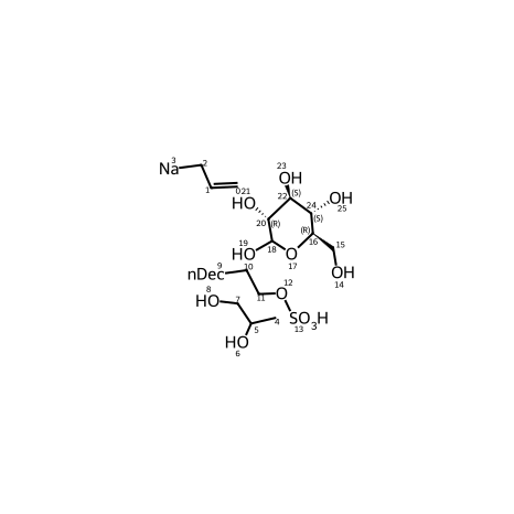 C=C[CH2][Na].CC(O)CO.CCCCCCCCCCCCOS(=O)(=O)O.OC[C@H]1OC(O)[C@H](O)[C@@H](O)[C@@H]1O